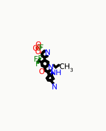 CCCCn1c2cc(-c3cncc(OS(=O)(=O)F)c3)c(C(F)(F)F)cc2c(=O)c2c3ccc(C#N)cc3[nH]c21